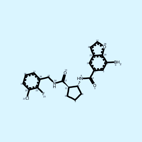 Bc1cc(C(=O)N[C@@H]2CCC[C@H]2C(=O)NCc2cccc(Cl)c2F)cc2ccoc12